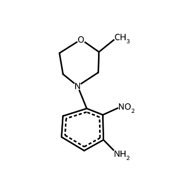 CC1CN(c2cccc(N)c2[N+](=O)[O-])CCO1